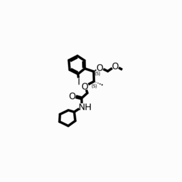 COCO[C@@H](c1ccccc1I)[C@H](C)OCC(=O)NC1CCCCC1